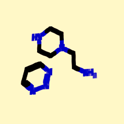 NCCN1CCNCC1.c1cnnnc1